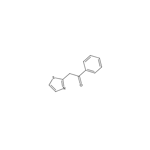 O=C(Cc1nccs1)c1ccccc1